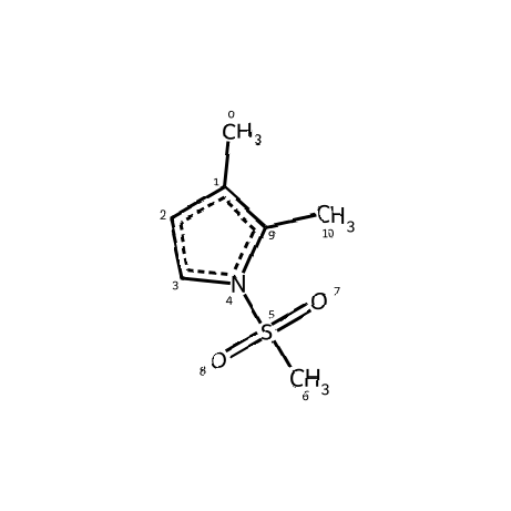 Cc1ccn(S(C)(=O)=O)c1C